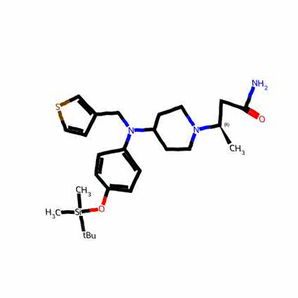 C[C@H](CC(N)=O)N1CCC(N(Cc2ccsc2)c2ccc(O[Si](C)(C)C(C)(C)C)cc2)CC1